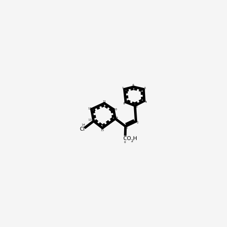 O=C(O)/C(=C/c1ccccc1)c1cccc(Cl)c1